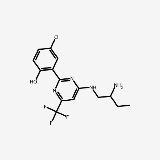 CCC(N)CNc1cc(C(F)(F)F)nc(-c2cc(Cl)ccc2O)n1